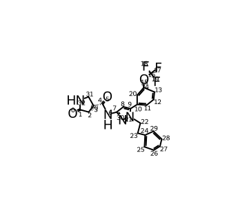 O=C1C[C@@H](C(=O)Nc2cc(-c3cccc(OC(F)(F)F)c3)n(CCc3ccccc3)n2)CN1